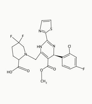 COC(=O)C1=C(CN2CC(F)(F)CCC2C(=O)O)NC(c2nccs2)=N[C@H]1c1ccc(F)cc1Cl